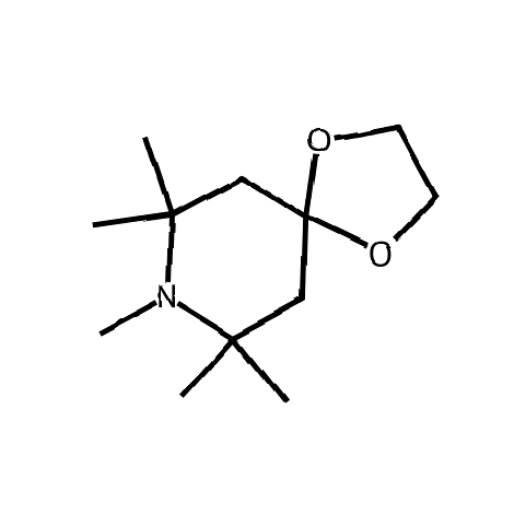 CN1C(C)(C)CC2(CC1(C)C)OCCO2